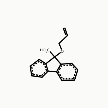 C=CCOC1(C(=O)O)c2ccccc2-c2ccccc21